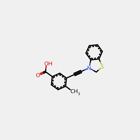 Cc1ccc(C(=O)O)cc1C#CN1CSc2ccccc21